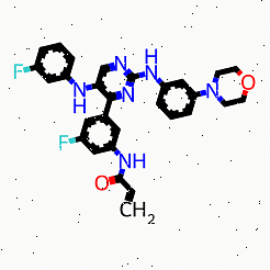 C=CC(=O)Nc1cc(F)cc(-c2nc(Nc3cccc(N4CCOCC4)c3)ncc2Nc2cccc(F)c2)c1